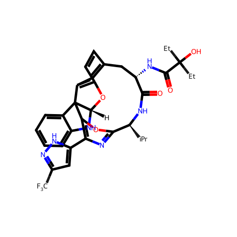 CCC(O)(CC)C(=O)N[C@H]1Cc2ccc3c(c2)C2(c4ccccc4N[C@H]2O3)c2oc(nc2-c2cc(C(F)(F)F)n[nH]2)[C@H](C(C)C)NC1=O